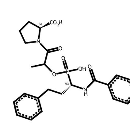 CC(OP(=O)(O)[C@@H](CCc1ccccc1)NC(=O)c1ccccc1)C(=O)N1CCC[C@H]1C(=O)O